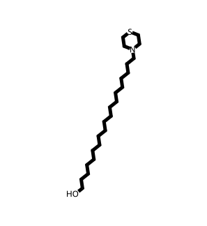 OCCCCCCCCCCCCCCCCCCCN1CCSCC1